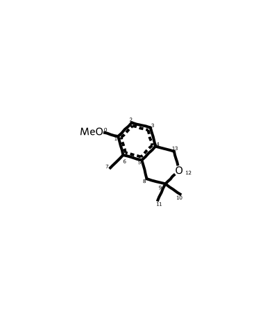 COc1ccc2c(c1C)CC(C)(C)OC2